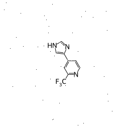 FC(F)(F)c1cc(-c2c[nH]cn2)ccn1